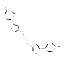 Cc1ccc(C2=CC(NCCNc3cc(-c4ccc(C)cc4)[nH]n3)=NC2)cc1